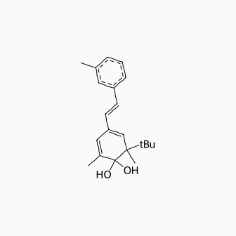 CC1=CC(C=Cc2cccc(C)c2)=CC(C)(C(C)(C)C)C1(O)O